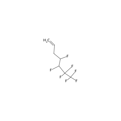 C=CCC(F)C(F)C(F)(F)C(F)(F)F